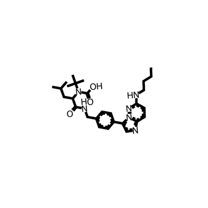 CCCCNc1ccc2ncc(-c3ccc(CNC(=O)C(CC(C)C)N(C(=O)O)C(C)(C)C)cc3)n2n1